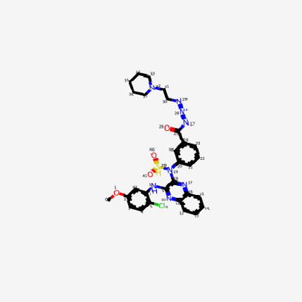 COc1ccc(Cl)c(Nc2nc3ccccc3nc2N(c2cccc(C(=O)N=[N+]=NCCN3CCCCC3)c2)[SH](=O)=O)c1